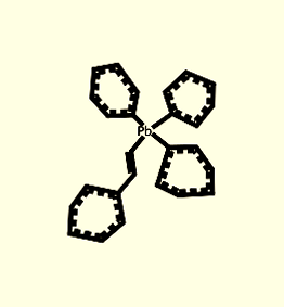 C(=[CH][Pb]([c]1ccccc1)([c]1ccccc1)[c]1ccccc1)c1ccccc1